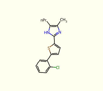 CCCc1[nH]c(-c2ccc(-c3ccccc3Cl)s2)nc1C